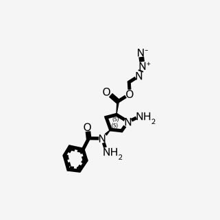 [N-]=[N+]=NCOC(=O)[C@@H]1C[C@H](N(N)C(=O)c2ccccc2)CN1N